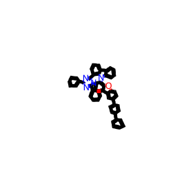 c1ccc(-c2ccc(-c3ccc4oc5c(-n6c7ccccc7c7cccc(-c8nc(-c9ccccc9)nc(-c9ccccc9)n8)c76)cccc5c4c3)cc2)cc1